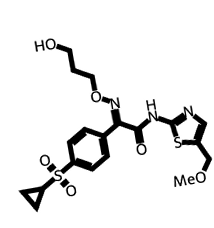 COCc1cnc(NC(=O)/C(=N/OCCCO)c2ccc(S(=O)(=O)C3CC3)cc2)s1